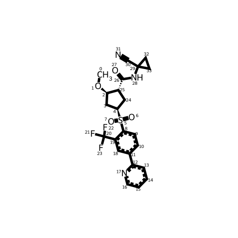 CO[C@@H]1C[C@H](S(=O)(=O)c2ccc(-c3ccccn3)cc2C(F)(F)F)C[C@H]1C(=O)NC1(C#N)CC1